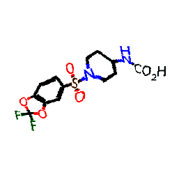 O=C(O)NC1CCN(S(=O)(=O)c2ccc3c(c2)OC(F)(F)O3)CC1